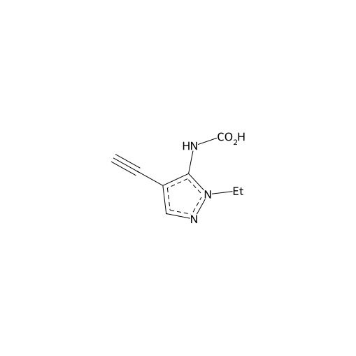 C#Cc1cnn(CC)c1NC(=O)O